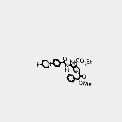 CCOC(=O)n1nc(NC(=O)c2ccc(N3CCC(F)CC3)cc2)c2c1CN(C(=O)[C@H](OC)c1ccccc1)C2